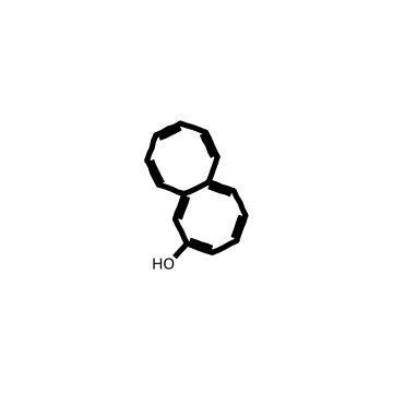 Oc1ccccc2ccccccc-2c1